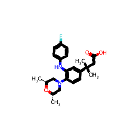 C[C@@H]1CN(c2ccc(C(C)(C)CC(=O)O)cc2Nc2ccc(F)cc2)C[C@H](C)O1